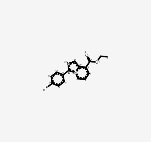 CCOC(=O)c1cccn2c(-c3ccc(F)cc3)ncc12